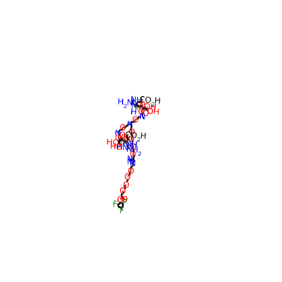 C[C@@H]1[C@@H](NC(=N)N)C=C(C(=O)O)O[C@H]1C(OC(=O)N(C)CCOCCN(CCOCCOCCOCCOCc1cn(CCOCCOCCOCCOCCC(=O)Oc2c(F)cc(F)cc2F)nn1)CCOCCN(C)C(=O)O[C@@H]([C@@H]1OC(C(=O)O)=C[C@H](NC(=N)N)[C@H]1C)[C@H](O)CO)[C@H](O)CO